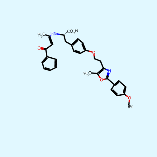 C/C(=C\C(=O)c1ccccc1)N[C@@H](Cc1ccc(OCCc2nc(-c3ccc(OC(C)C)cc3)oc2C)cc1)C(=O)O